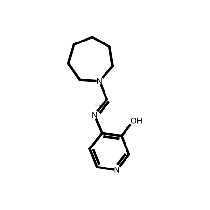 Oc1cnccc1/N=C/N1CCCCCC1